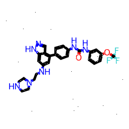 O=C(Nc1ccc(-c2cc(NCCN3CCNCC3)cc3[nH]ncc23)cc1)Nc1cccc(OC(F)(F)F)c1